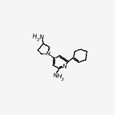 Nc1cc(N2CCC(N)C2)cc(C2=CCCCC2)n1